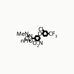 CCCOC(=NC(=O)NC)c1cc(Oc2ccc(C(F)(F)F)cc2Cl)ccc1[N+](=O)[O-]